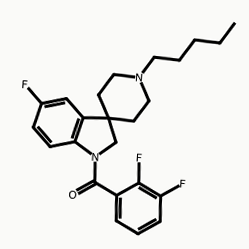 CCCCCN1CCC2(CC1)CN(C(=O)c1cccc(F)c1F)c1ccc(F)cc12